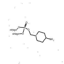 CCCCCCCOP(=O)(OCCCCCCC)OCN1CCC(N)CC1